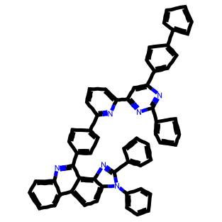 c1ccc(-c2ccc(-c3cc(-c4cccc(-c5ccc(-c6nc7ccccc7c7ccc8c(nc(-c9ccccc9)n8-c8ccccc8)c67)cc5)n4)nc(-c4ccccc4)n3)cc2)cc1